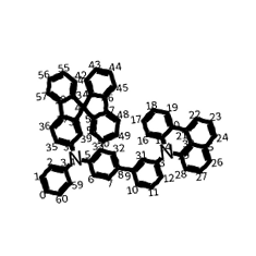 c1ccc(N(c2ccc(-c3cccc(N4c5ccccc5-c5cccc6cccc4c56)c3)cc2)c2ccc3c(c2)C2(c4ccccc4-c4ccccc42)c2ccccc2-3)cc1